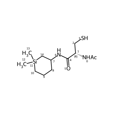 CC(=O)N[C@@H](CS)C(=O)NC1CCC[Si](C)(C)C1